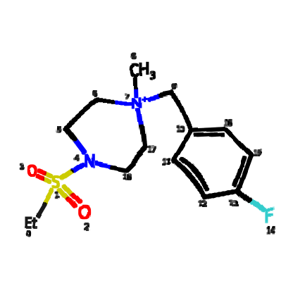 CCS(=O)(=O)N1CC[N+](C)(Cc2ccc(F)cc2)CC1